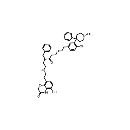 CN1CCC(c2ccccc2)(c2cc(CCOCCC(=O)N(CCNCCc3ccc(O)c4c3OCC(=O)N4)Cc3ccccc3)ccc2O)CC1